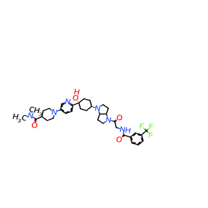 CN(C)C(=O)C1CCN(c2ccc([C@]3(O)CC[C@H](N4CCC5C4CCN5C(=O)CNC(=O)c4cccc(C(F)(F)F)c4)CC3)nc2)CC1